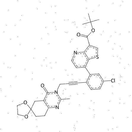 Cc1nc2c(c(=O)n1CC#Cc1ccc(Cl)cc1-c1ccnc3c(C(=O)OC(C)(C)C)csc13)CC1(CC2)OCCO1